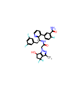 NC(=O)c1cc(-c2cccnc2[C@H](Cc2cc(F)cc(F)c2)NC(=O)Cn2nc(C(F)(F)F)c3c2C(O)CC3(F)F)ccc1F